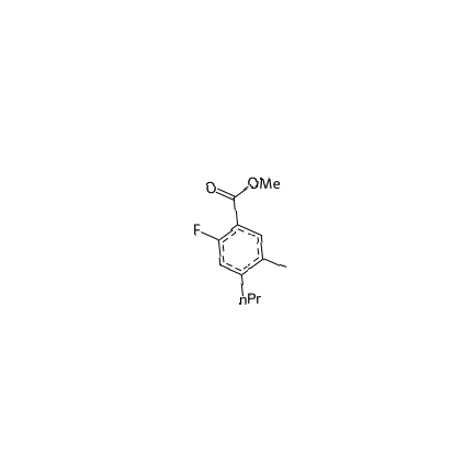 CCCc1cc(F)c(C(=O)OC)cc1C